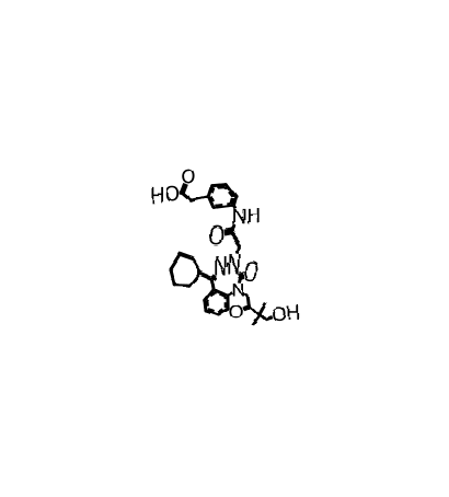 CC(C)(CO)C(=O)CN1C(=O)N(CC(=O)Nc2cccc(CC(=O)O)c2)N=C(C2CCCCC2)c2ccccc21